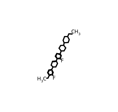 CCCC1CCC(C2CCC(c3ccc(C4=CCC(c5ccc(CC)c(F)c5)CC4)c(F)c3)CC2)CC1